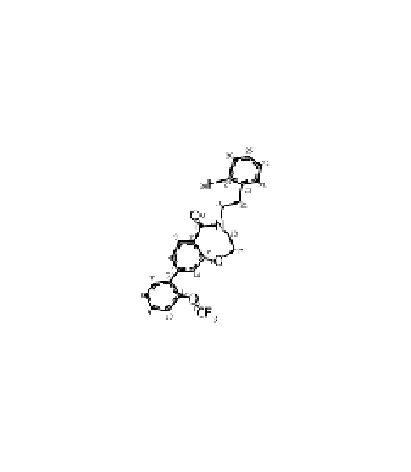 O=C1c2ccc(-c3ccccc3OC(F)(F)F)cc2OCCN1CCc1ccccc1F